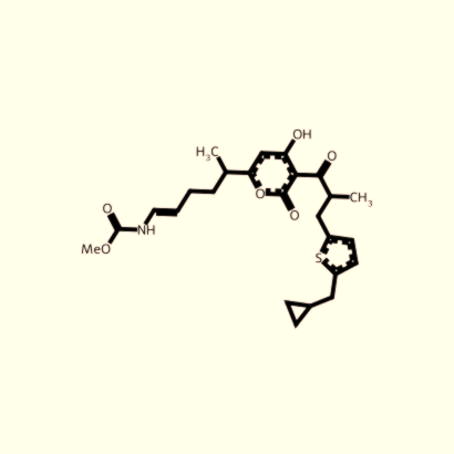 COC(=O)N/C=C/CCC(C)c1cc(O)c(C(=O)C(C)Cc2ccc(CC3CC3)s2)c(=O)o1